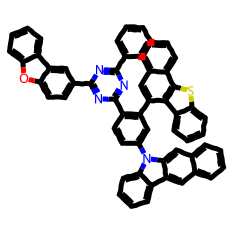 c1ccc(-c2nc(-c3ccc4oc5ccccc5c4c3)nc(-c3ccc(-n4c5ccccc5c5cc6ccccc6cc54)cc3-c3cc4ccccc4c4sc5ccccc5c34)n2)cc1